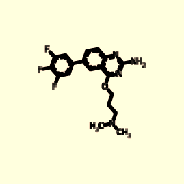 CN(C)CCCOc1nc(N)nc2ccc(-c3cc(F)c(F)c(F)c3)cc12